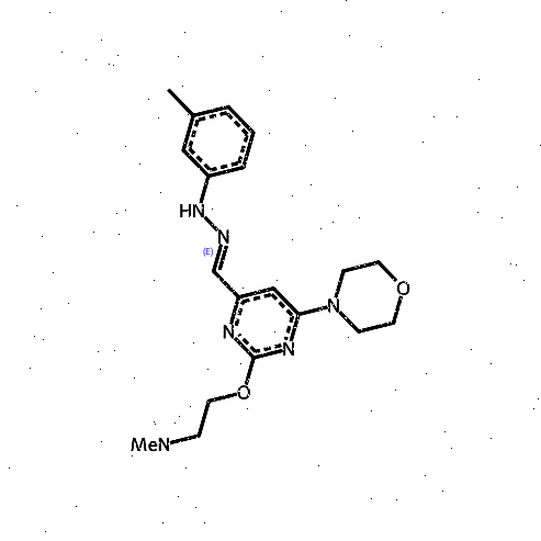 CNCCOc1nc(/C=N/Nc2cccc(C)c2)cc(N2CCOCC2)n1